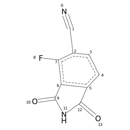 N#Cc1ccc2c(c1F)C(=O)NC2=O